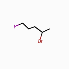 CC(Br)CC[CH]I